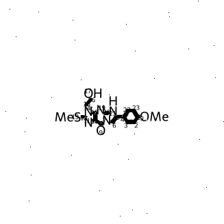 COc1ccc(-c2cn3c(=O)c4nc(SC)n(CCO)c4nc3[nH]2)cc1